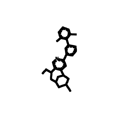 CCC1CC2CC(C)CC(C2)c2cc(-c3cccc(-c4c(C)cccc4C)c3)ncc21